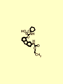 C=CCOC(=O)Nc1ccc2c(c1)-c1c(cccc1OC(=O)NC1(C(=O)O)CCCCC1)C2